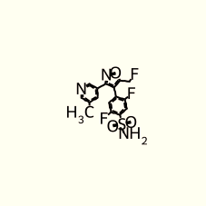 Cc1cncc(-c2noc(CF)c2-c2cc(F)c(S(N)(=O)=O)cc2F)c1